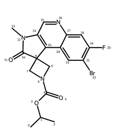 CC(C)OC(=O)N1CC2(C1)C(=O)N(C)c1cnc3cc(F)c(Br)cc3c12